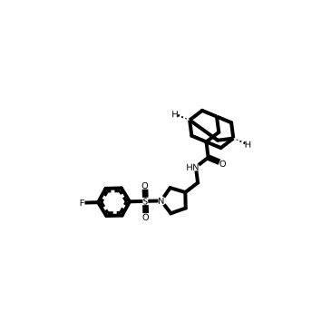 O=C(NCC1CCN(S(=O)(=O)c2ccc(F)cc2)C1)C12CC3C[C@H](C1)C[C@@H](C3)C2